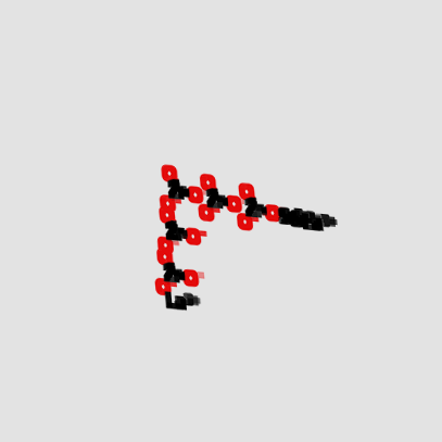 [La+3].[La+3].[O]=[Zr]([O-])[O-].[O]=[Zr]([O-])[O-].[O]=[Zr]([O-])[O-].[O]=[Zr]([O-])[O-].[O]=[Zr]([O-])[O-].[Sr+2].[Sr+2]